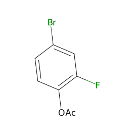 CC(=O)Oc1ccc(Br)cc1F